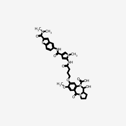 COc1cc2c(cc1OCCCC(=O)Nc1cc(C(=O)Nc3ccc4sc(C(=O)N(C)C)cc4c3)cn1C)N(C(=O)O)C(O)C1CCCN1C2=O